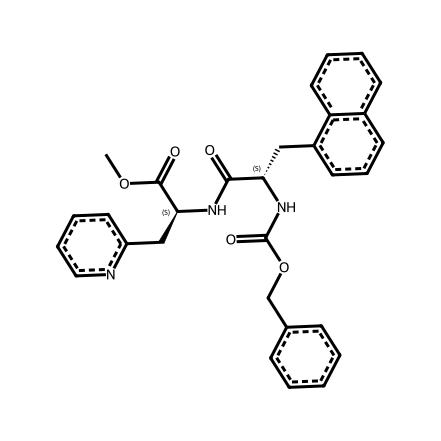 COC(=O)[C@H](Cc1ccccn1)NC(=O)[C@H](Cc1cccc2ccccc12)NC(=O)OCc1ccccc1